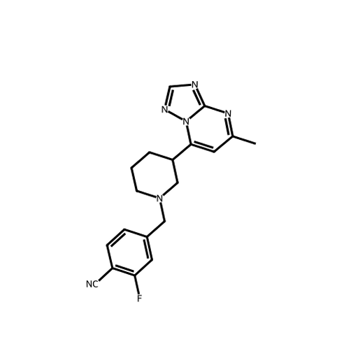 Cc1cc(C2CCCN(Cc3ccc(C#N)c(F)c3)C2)n2ncnc2n1